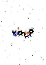 COc1cc(/C=C2\CCCN([C@H](C)c3ccc(F)cc3)S2(=O)=O)ccc1-n1cnc(C)c1